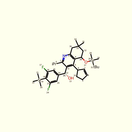 CC(C)c1nc2c(c(C3C=CCC3)c1[C@H](O)c1cc(F)c([Si](C)(C)C)c(F)c1)C(O[Si](C)(C)C(C)(C)C)CC(C)(C)C2